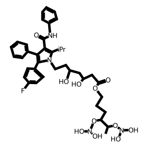 CC(C)c1c(C(=O)Nc2ccccc2)c(-c2ccccc2)c(-c2ccc(F)cc2)n1CCC(O)CC(O)CC(=O)OCCCC(ON(O)O)C(C)ON(O)O